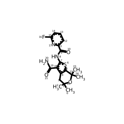 CC1(C)Cc2c(sc(NC(=O)c3cccc(F)n3)c2C(N)=O)C(C)(C)O1